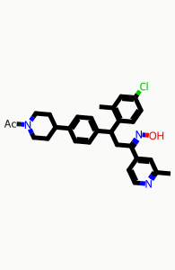 CC(=O)N1CCC(c2ccc(C(CC(=NO)c3ccnc(C)c3)c3ccc(Cl)cc3C)cc2)CC1